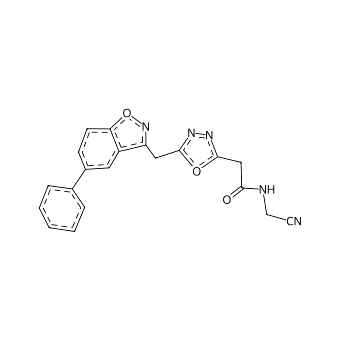 N#CCNC(=O)Cc1nnc(Cc2noc3ccc(-c4ccccc4)cc23)o1